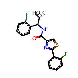 O=C(O)CC(NC(=O)c1csc(-c2ccccc2F)n1)c1ccccc1F